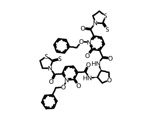 O=C(N[C@H]1COC[C@H]1NC(=O)c1ccc(C(=O)N2CCSC2=S)n(OCc2ccccc2)c1=O)c1ccc(C(=O)N2CCSC2=S)n(OCc2ccccc2)c1=O